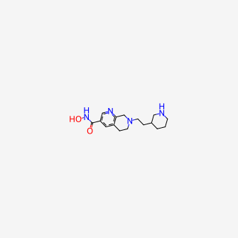 O=C(NO)c1cnc2c(c1)CCN(CCC1CCCNC1)C2